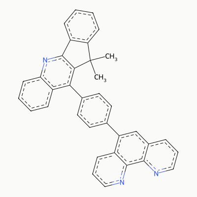 CC1(C)c2ccccc2-c2nc3ccccc3c(-c3ccc(-c4cc5cccnc5c5ncccc45)cc3)c21